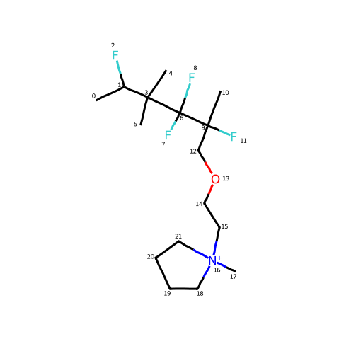 CC(F)C(C)(C)C(F)(F)C(C)(F)COCC[N+]1(C)CCCC1